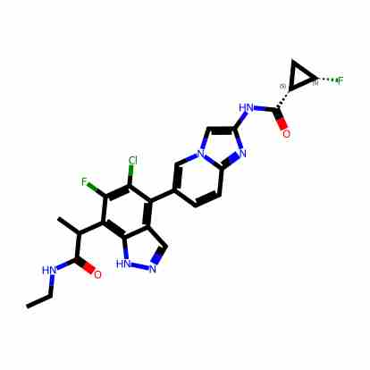 CCNC(=O)C(C)c1c(F)c(Cl)c(-c2ccc3nc(NC(=O)[C@@H]4C[C@@H]4F)cn3c2)c2cn[nH]c12